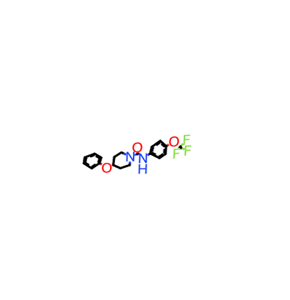 O=C(Nc1ccc(OC(F)(F)F)cc1)N1CCC(Oc2ccccc2)CC1